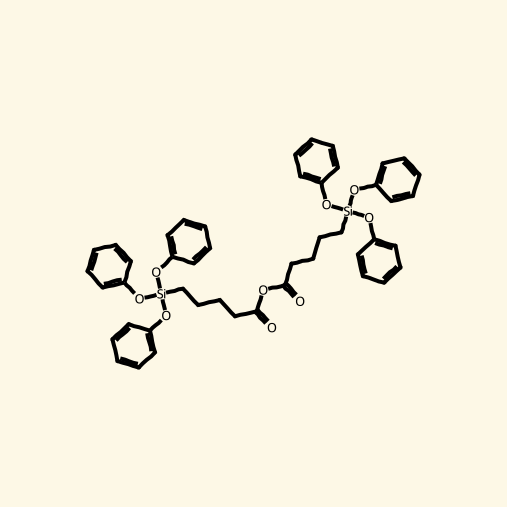 O=C(CCCC[Si](Oc1ccccc1)(Oc1ccccc1)Oc1ccccc1)OC(=O)CCCC[Si](Oc1ccccc1)(Oc1ccccc1)Oc1ccccc1